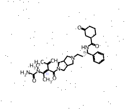 C=C(C)/C(C(=O)N1CC2CN(CC[C@H](NC(=O)C3CCCC(=O)C3)c3ccccc3)CC2C1)=C(/C)N(C)C(N)=O